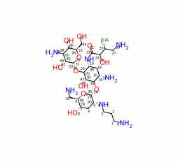 NCCCN[C@@H]1C[C@H](O)[C@@H](CN)O[C@@H]1OC1[C@@H](N)C[C@@H](NC(=O)C(O)C(F)CN)[C@H](O[C@H]2O[C@H](CO)[C@@H](O)[C@H](N)[C@H]2O)[C@H]1O